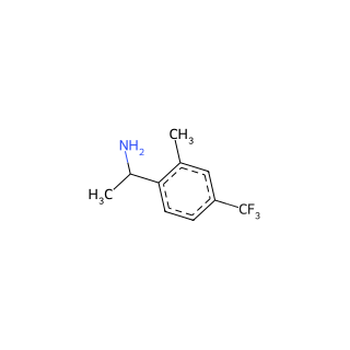 Cc1cc(C(F)(F)F)ccc1C(C)N